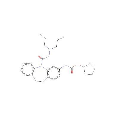 CCCN(CCC)CC(=O)N1c2ccccc2CCc2ccc(NC(=O)OC3CCCC3)cc21